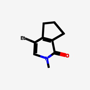 CCc1cn(C)c(=O)c2c1CCC2